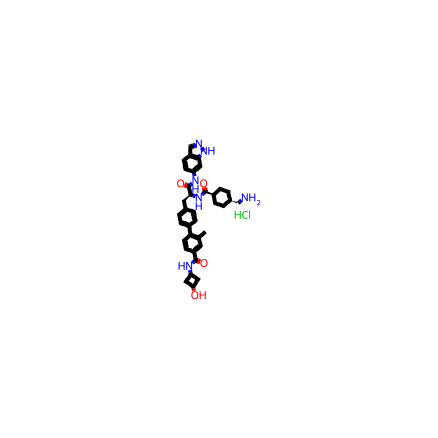 Cc1cc(C(=O)NC2CC(O)C2)ccc1-c1ccc(C[C@H](NC(=O)[C@H]2CC[C@H](CN)CC2)C(=O)Nc2ccc3cn[nH]c3c2)cc1.Cl